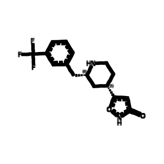 O=c1cc([C@H]2CCN[C@@H](Cc3cccc(C(F)(F)F)c3)C2)o[nH]1